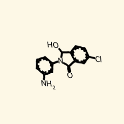 Nc1cccc(N2C(=O)c3cc(Cl)ccc3C2O)c1